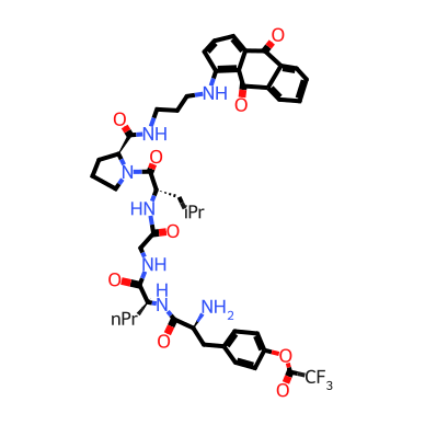 CCC[C@H](NC(=O)[C@@H](N)Cc1ccc(OC(=O)C(F)(F)F)cc1)C(=O)NCC(=O)N[C@@H](CC(C)C)C(=O)N1CCC[C@H]1C(=O)NCCCNc1cccc2c1C(=O)c1ccccc1C2=O